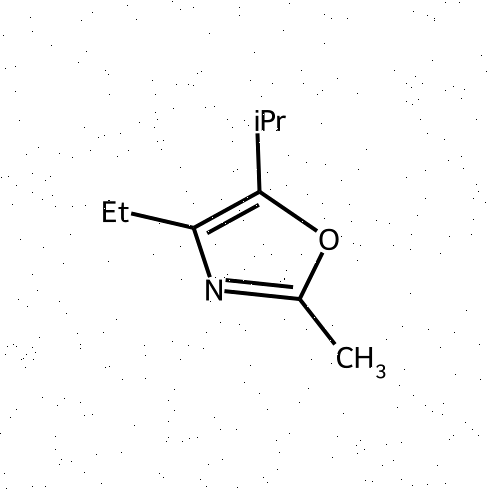 CCc1nc(C)oc1C(C)C